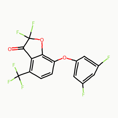 O=C1c2c(C(F)(F)F)ccc(Oc3cc(F)cc(F)c3)c2OC1(F)F